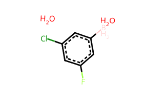 Bc1cc(F)cc(Cl)c1.O.O